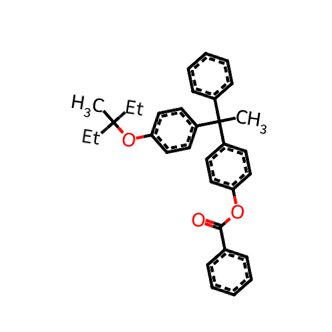 CCC(C)(CC)Oc1ccc(C(C)(c2ccccc2)c2ccc(OC(=O)c3ccccc3)cc2)cc1